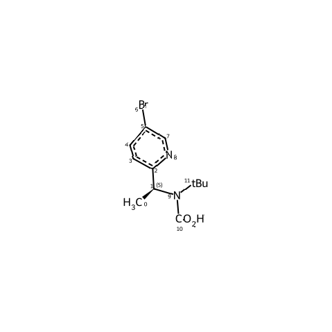 C[C@@H](c1ccc(Br)cn1)N(C(=O)O)C(C)(C)C